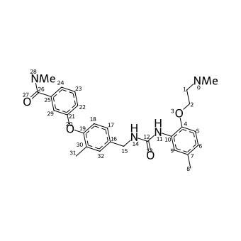 CNCCOc1ccc(C)cc1NC(=O)NCc1ccc(Oc2cccc(C(=O)NC)c2)c(C)c1